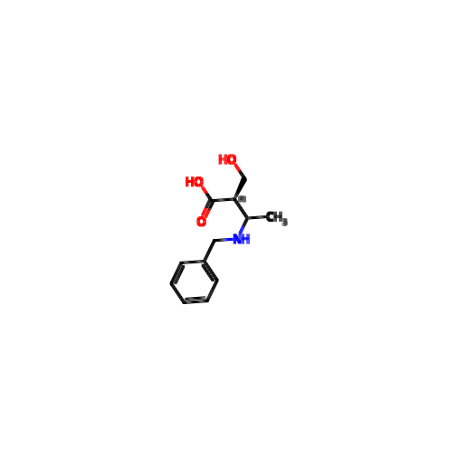 CC(NCc1ccccc1)[C@H](CO)C(=O)O